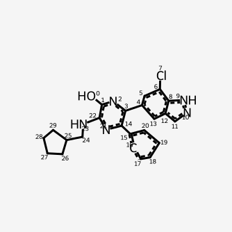 Oc1nc(-c2cc(Cl)c3[nH]ncc3c2)c(-c2ccccc2)nc1NCC1CCCC1